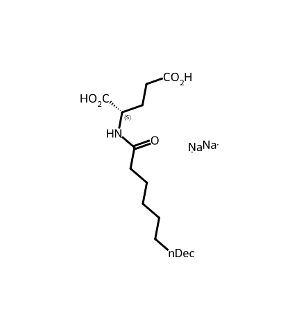 CCCCCCCCCCCCCCCC(=O)N[C@@H](CCC(=O)O)C(=O)O.[Na].[Na]